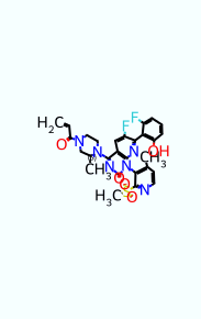 C=CC(=O)N1CCN(c2nc(=O)n(-c3c(C)ccnc3S(C)(=O)=O)c3nc(-c4c(O)cccc4F)c(F)cc23)[C@@H](C)C1